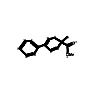 COC(=O)C1(C)C=CC(c2ccccc2)=CC1